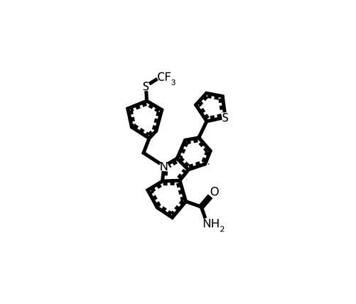 NC(=O)c1cccc2c1c1[c]cc(-c3cccs3)cc1n2Cc1ccc(SC(F)(F)F)cc1